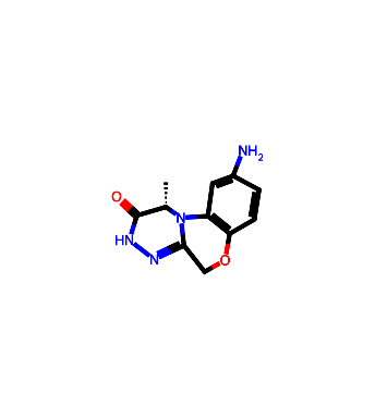 C[C@H]1C(=O)NN=C2COc3ccc(N)cc3N21